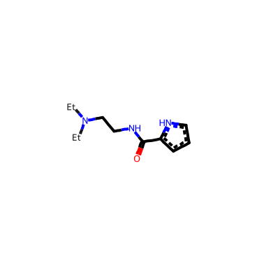 CCN(CC)CCNC(=O)c1ccc[nH]1